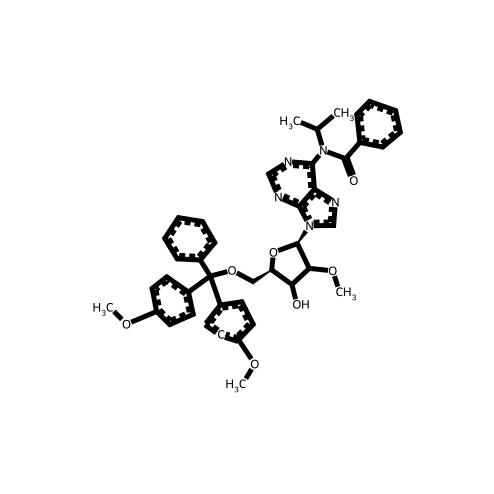 COc1ccc(C(OC[C@H]2O[C@@H](n3cnc4c(N(C(=O)c5ccccc5)C(C)C)ncnc43)C(OC)C2O)(c2ccccc2)c2ccc(OC)cc2)cc1